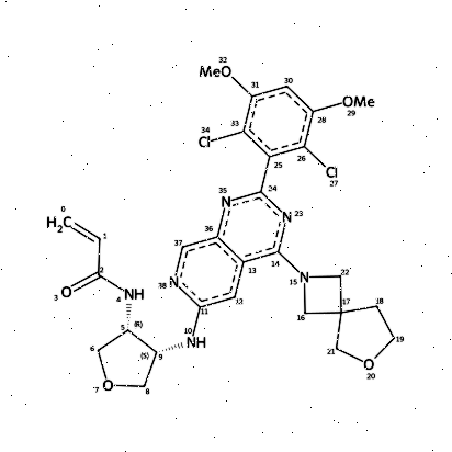 C=CC(=O)N[C@H]1COC[C@H]1Nc1cc2c(N3CC4(CCOC4)C3)nc(-c3c(Cl)c(OC)cc(OC)c3Cl)nc2cn1